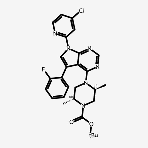 C[C@@H]1CN(c2ncnc3c2c(-c2ccccc2F)cn3-c2cc(Cl)ccn2)[C@@H](C)CN1C(=O)OC(C)(C)C